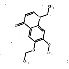 CCOc1cc2c(=O)ccn(CC)c2cc1OC